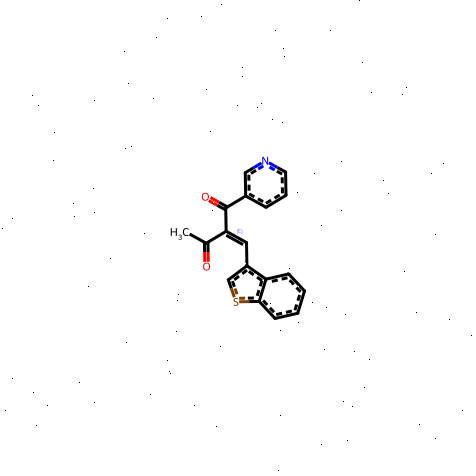 CC(=O)/C(=C\c1csc2ccccc12)C(=O)c1cccnc1